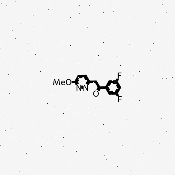 COc1ccc(CC(=O)c2cc(F)cc(F)c2)nn1